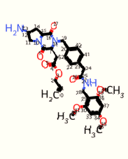 C=CCOC(=O)C[C@H]1C(=O)N2C[C@@H](N)CC2C(=O)N1Cc1ccc(CC(=O)NCc2c(OC)cc(OC)cc2OC)cc1